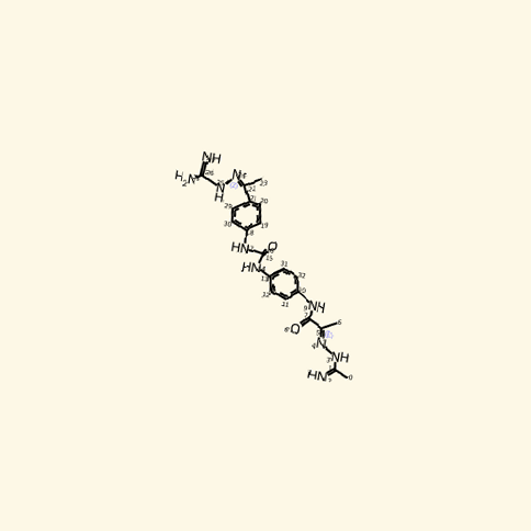 CC(=N)N/N=C(\C)C(=O)Nc1ccc(NC(=O)Nc2ccc(/C(C)=N\NC(=N)N)cc2)cc1